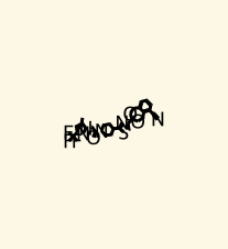 Cc1cc(C(F)(F)F)nn1CC(=O)N1CCC(c2nc(C3OCc4cccc(C#N)c4CO3)cs2)CC1